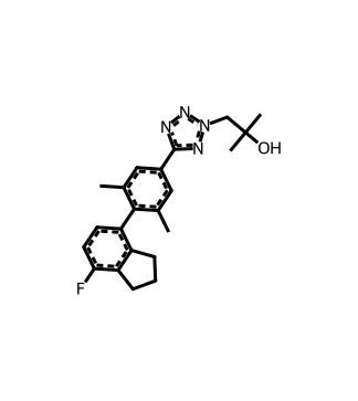 Cc1cc(-c2nnn(CC(C)(C)O)n2)cc(C)c1-c1ccc(F)c2c1CCC2